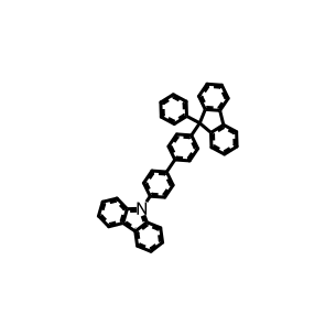 c1ccc(C2(c3ccc(-c4ccc(-n5c6ccccc6c6ccccc65)cc4)cc3)c3ccccc3-c3ccccc32)cc1